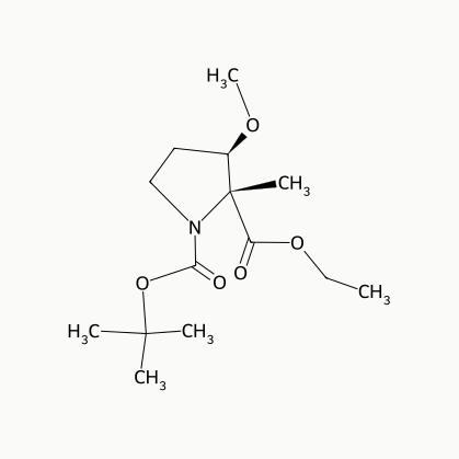 CCOC(=O)[C@@]1(C)[C@H](OC)CCN1C(=O)OC(C)(C)C